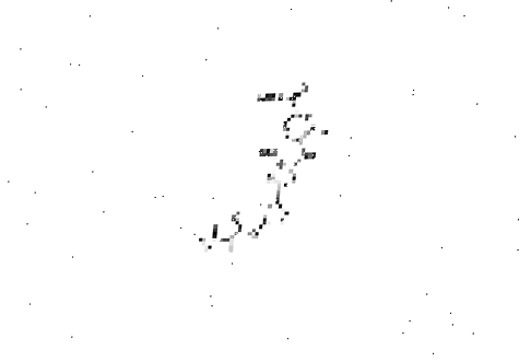 CNC(=O)c1ccc(Nc2cc([C@H]3CC[C@@H](OC(=O)NC4(C)CC4)C3)nn2C(C)(C)C)c(C)n1